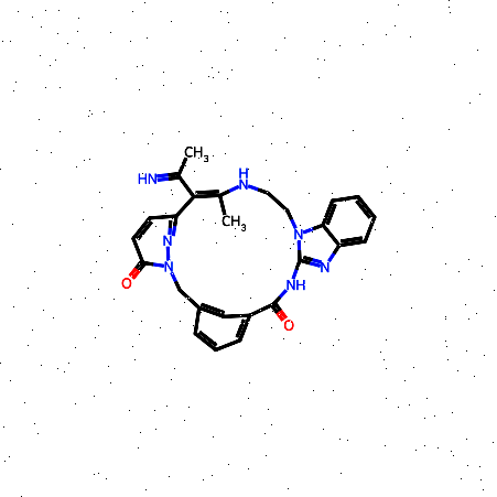 CC(=N)/C1=C(/C)NCCn2c(nc3ccccc32)NC(=O)c2cccc(c2)Cn2nc1ccc2=O